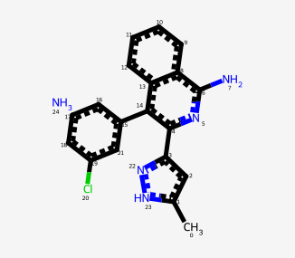 Cc1cc(-c2nc(N)c3ccccc3c2-c2cccc(Cl)c2)n[nH]1.N